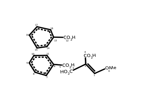 COC=C(C(=O)O)C(=O)O.O=C(O)c1ccccc1.O=C(O)c1ccccc1